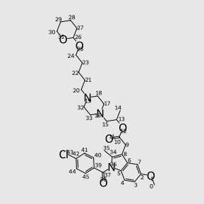 COc1ccc2c(c1)c(CC(=O)OC(C)CN1CCN(CCCCCOC3CCCCO3)CC1)c(C)n2C(=O)c1ccc(Cl)cc1